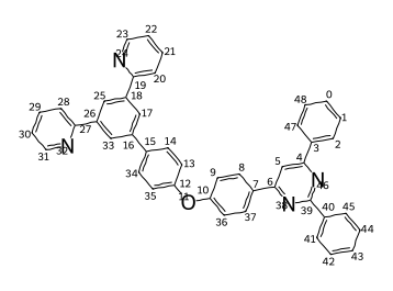 c1ccc(-c2cc(-c3ccc(Oc4ccc(-c5cc(-c6ccccn6)cc(-c6ccccn6)c5)cc4)cc3)nc(-c3ccccc3)n2)cc1